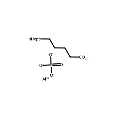 CCCCCCCCCCCC(=O)O.O=P([O-])([O-])[O-].[Al+3]